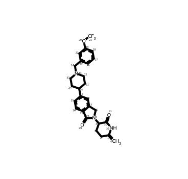 C=C1CCC(N2Cc3cc(C4CCN(Cc5cccc(OC(F)(F)F)c5)CC4)ccc3C2=O)C(=O)N1